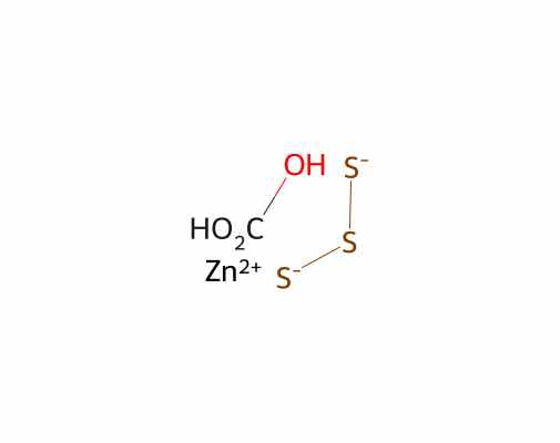 O=C(O)O.[S-]S[S-].[Zn+2]